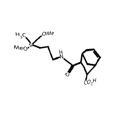 CO[Si](C)(CCCNC(=O)C1C2C=CC(C2)C1C(=O)O)OC